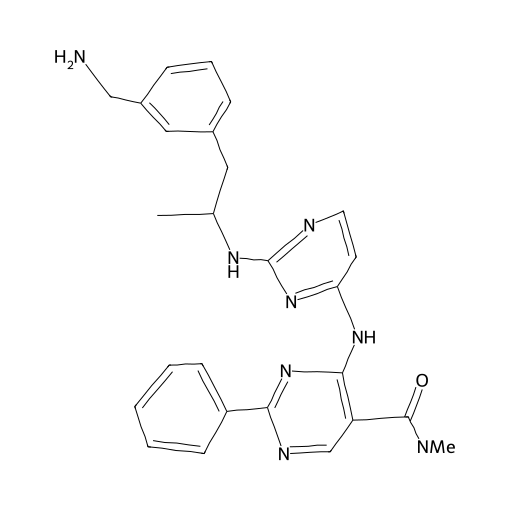 CNC(=O)c1cnc(-c2ccccc2)nc1Nc1ccnc(NC(C)Cc2cccc(CN)c2)n1